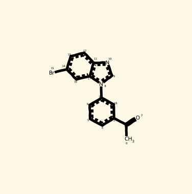 CC(=O)c1cccc(-n2cnc3ccc(Br)cc32)c1